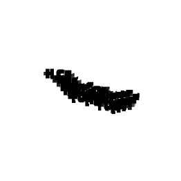 [CH2]C(F)(F)C(F)(F)C(F)(F)C(F)(F)C(F)(F)OC(F)(F)C(F)(F)OC(F)(F)C(F)(F)OC(F)(F)C(F)(F)C(F)(F)C(F)(F)F